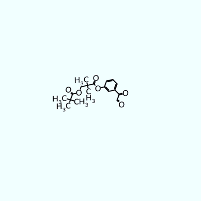 CC(C)(C)C(=O)OCC(C)(C)C(=O)Oc1cccc(C(=O)C=O)c1